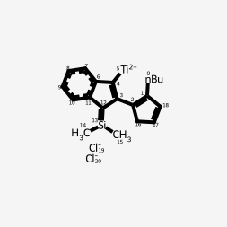 CCCCC1=C(C2=[C]([Ti+2])c3ccccc3C2=[Si](C)C)CC=C1.[Cl-].[Cl-]